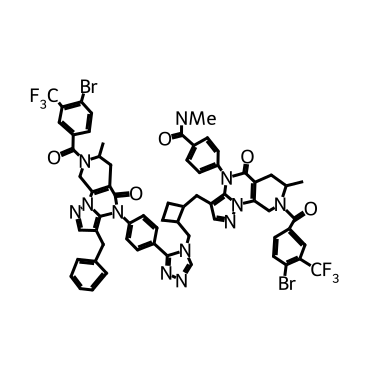 CNC(=O)c1ccc(-n2c(=O)c3c(n4ncc(CC5CCC5Cn5cnnc5-c5ccc(-n6c(=O)c7c(n8ncc(Cc9ccccc9)c68)CN(C(=O)c6ccc(Br)c(C(F)(F)F)c6)C(C)C7)cc5)c24)CN(C(=O)c2ccc(Br)c(C(F)(F)F)c2)C(C)C3)cc1